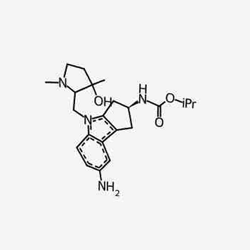 CC(C)OC(=O)N[C@H]1Cc2c(n(CC3N(C)CCC3(C)O)c3ccc(N)cc23)C1